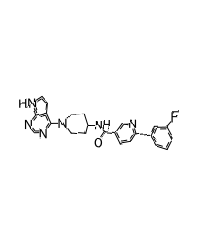 O=C(NC1CCN(c2ncnc3[nH]ccc23)CC1)c1ccc(-c2cccc(F)c2)nc1